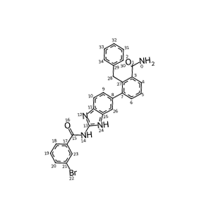 NC(=O)c1cccc(-c2ccc3nc(NC(=O)c4cccc(Br)c4)[nH]c3c2)c1Cc1ccccc1